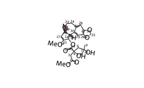 COC(=O)CC(O)(CC(C)(C)O)C(=O)OC1C(OC)=C[C@]23CCCN2CCc2cc4c(cc2[C@H]13)OCO4